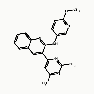 COc1ccc(Nc2nc3ccccc3cc2-c2nc(C)nc(N)n2)cn1